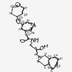 O=C(NCC(O)CN1CCc2ccccc2C1)c1cncc(OC2CCOCC2)c1